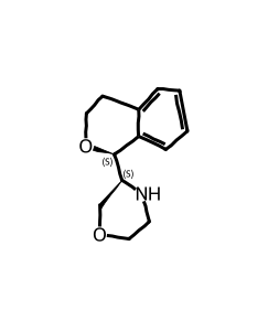 c1ccc2c(c1)CCO[C@@H]2[C@@H]1COCCN1